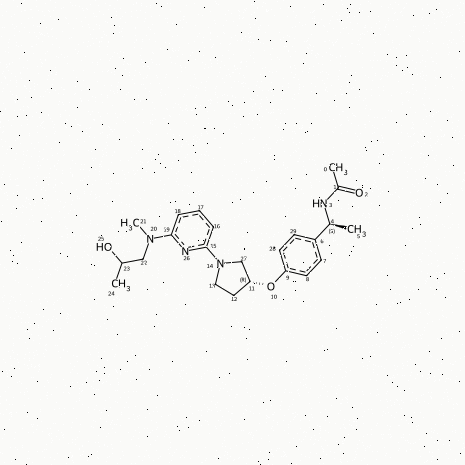 CC(=O)N[C@@H](C)c1ccc(O[C@@H]2CCN(c3cccc(N(C)CC(C)O)n3)C2)cc1